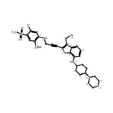 COc1cc(S(C)(=O)=O)c(F)cc1NCC#Cc1sc2c(NC3CCC(N4CCOCC4)CC3)cccc2c1CC#N